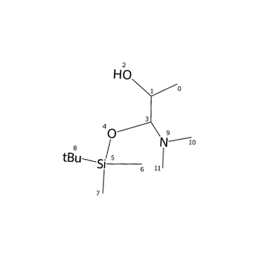 CC(O)C(O[Si](C)(C)C(C)(C)C)N(C)C